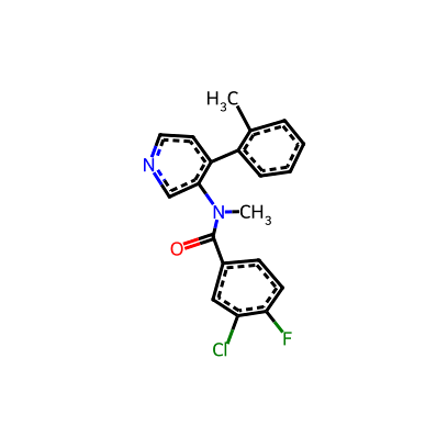 Cc1ccccc1-c1ccncc1N(C)C(=O)c1ccc(F)c(Cl)c1